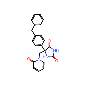 O=C1NC(=O)C(Cn2ccccc2=O)(c2ccc(Cc3ccccc3)cc2)N1